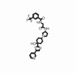 O=C(CNC(=O)c1cccc(C(F)(F)F)c1)N[C@@H]1CCN(C2CCC(O)(c3ncc(-c4cccnc4)s3)CC2)C1